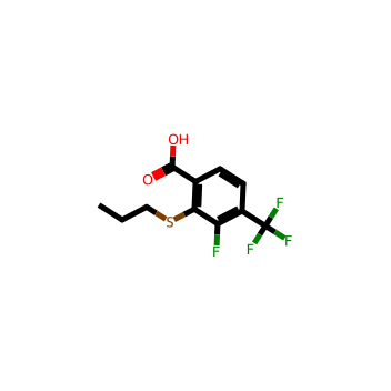 CCCSc1c(C(=O)O)ccc(C(F)(F)F)c1F